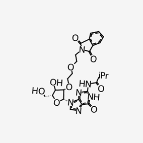 CC(C)C(=O)Nc1nc2c(ncn2[C@@H]2O[C@H](CO)C(O)[C@@H]2OCCOCCN2C(=O)c3ccccc3C2=O)c(=O)[nH]1